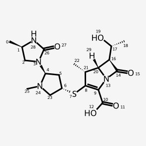 C[C@@H]1CN([C@H]2C[C@H](SC3=C(C(=O)O)N4C(=O)[C@H]([C@@H](C)O)[C@H]4[C@H]3C)CN2C)C(=O)N1